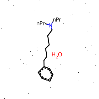 CCCN(CCC)CCCCCCc1ccccc1.O